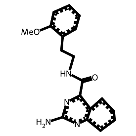 COc1ccccc1CCNC(=O)c1nc(N)nc2ccccc12